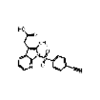 Cc1c(CC(=O)O)c2cccnc2n1S(=O)(=O)c1ccc(C#N)cc1